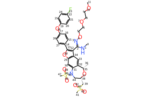 CN/C(=N\OCCOCCOC)c1c(-c2ccc(Oc3ccc(F)cc3)cc2)oc2cc3c(cc12)[C@H](C)O[C@H](CS(C)(=O)=O)CN3S(C)(=O)=O